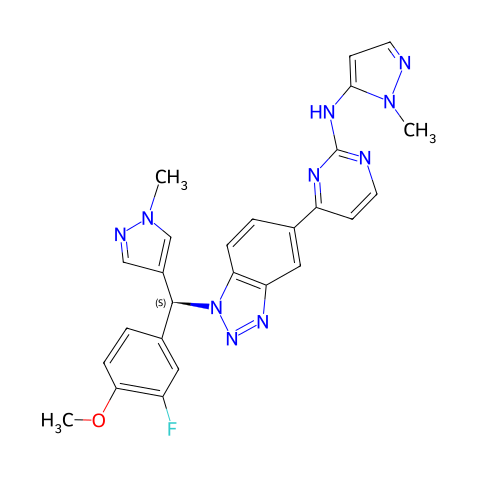 COc1ccc([C@@H](c2cnn(C)c2)n2nnc3cc(-c4ccnc(Nc5ccnn5C)n4)ccc32)cc1F